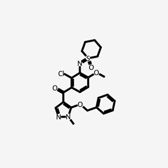 COc1ccc(C(=O)c2cnn(C)c2OCc2ccccc2)c(Cl)c1N=S1(=O)CCCCC1